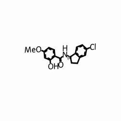 COc1ccc(C(=O)N[C@@H]2CCc3cc(Cl)ccc32)c(O)c1